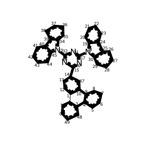 c1ccc(-c2ccccc2-c2cccc(-c3nc(-n4c5ccccc5c5ccccc54)nc(-n4c5ccccc5c5ccccc54)n3)c2)cc1